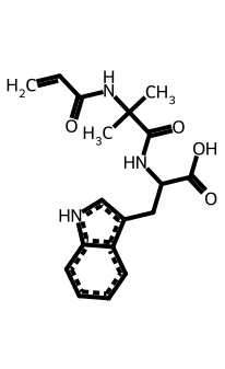 C=CC(=O)NC(C)(C)C(=O)NC(Cc1c[nH]c2ccccc12)C(=O)O